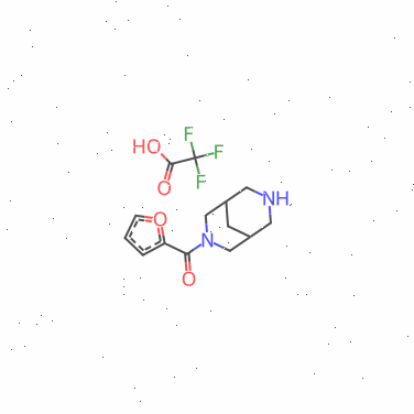 O=C(O)C(F)(F)F.O=C(c1ccco1)N1CC2CNCC(C2)C1